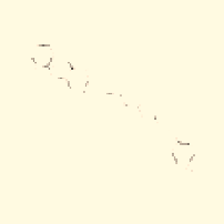 O=c1[nH]c(SCCCCCCCSc2ccc(Cl)cc2)ncc1Cc1cccnc1